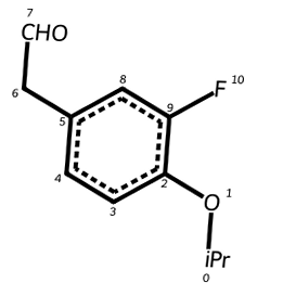 CC(C)Oc1ccc(CC=O)cc1F